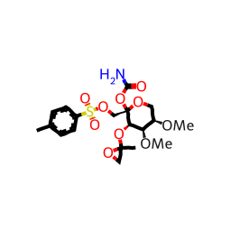 CO[C@H]1[C@@H](OC2(C)CO2)[C@](COS(=O)(=O)c2ccc(C)cc2)(OC(N)=O)OC[C@H]1OC